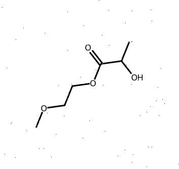 [CH2]C(O)C(=O)OCCOC